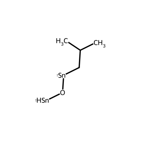 CC(C)[CH2][Sn][O][SnH]